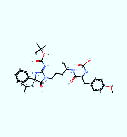 COc1ccc(CC(NC(=O)O)C(=O)NC(C)CCCN2C(=O)[C@@](CC(C)C)(c3ccccc3)NC2=NC(=O)OC(C)(C)C)cc1